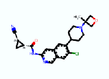 CC1(N2CCC(c3cc4cc(NC(=O)[C@@H]5C[C@H]5C#N)ncc4cc3Cl)CC2)COC1